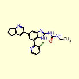 CCNC(=O)Nc1nc2cc(-c3cnc4c(c3)CCC4)cc(-c3ncccc3F)c2[nH]1